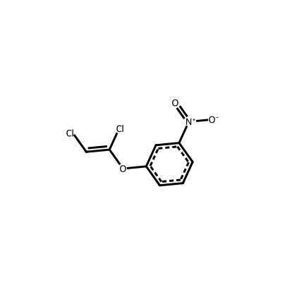 O=[N+]([O-])c1cccc(OC(Cl)=CCl)c1